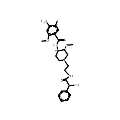 COc1cc(N)c(Cl)cc1C(=O)N[C@@H]1CCN(CCNC(=O)C(O)c2ccccc2)C[C@@H]1OC